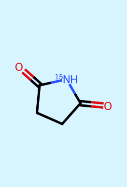 O=C1CCC(=O)[15NH]1